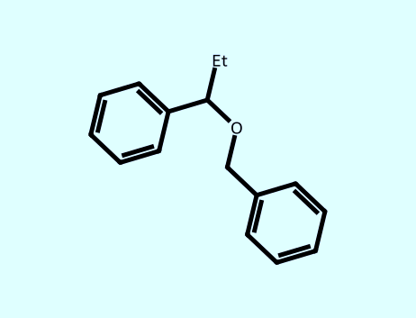 CCC(OCc1ccccc1)c1ccccc1